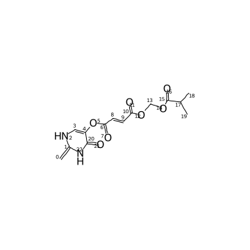 C=C1NC=C(OC(=O)/C=C/C(=O)OCOC(=O)C(C)C)C(=O)N1